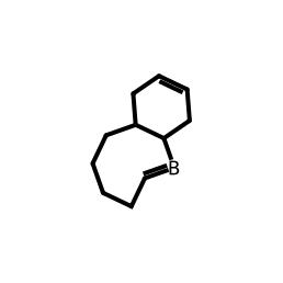 B1=C/CCCCC2CC=CCC/12